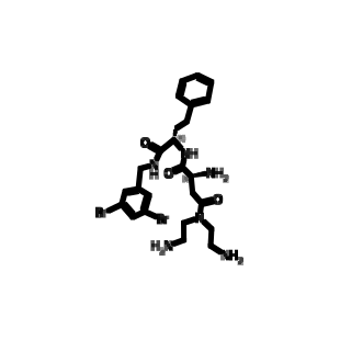 NCCN(CCN)C(=O)C[C@H](N)C(=O)N[C@@H](CCc1ccccc1)C(=O)NCc1cc(Br)cc(Br)c1